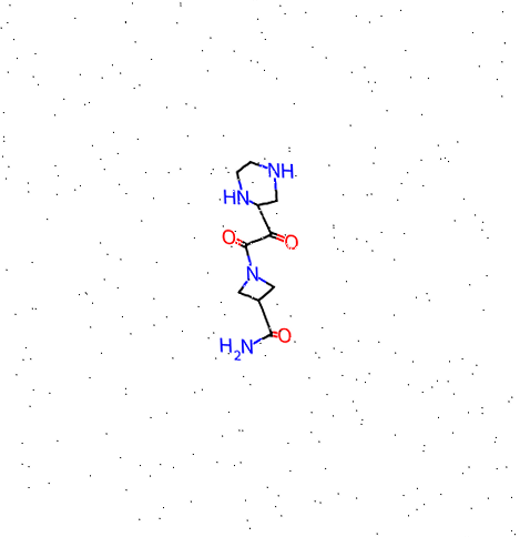 NC(=O)C1CN(C(=O)C(=O)C2CNCCN2)C1